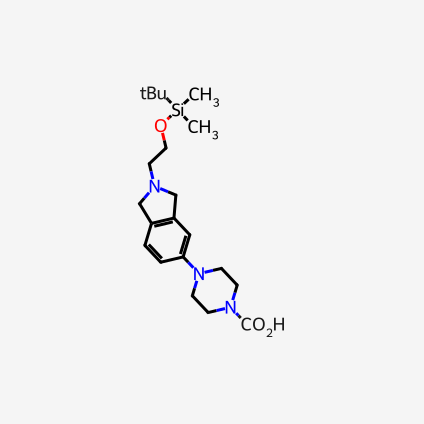 CC(C)(C)[Si](C)(C)OCCN1Cc2ccc(N3CCN(C(=O)O)CC3)cc2C1